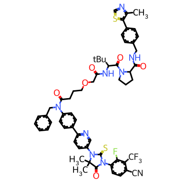 Cc1ncsc1-c1ccc(CNC(=O)C2CCCN2C(=O)C(NC(=O)COCCCC(=O)N(Cc2ccccc2)c2ccc(-c3ccc(N4C(=S)N(c5ccc(C#N)c(C(F)(F)F)c5F)C(=O)C4(C)C)cn3)cc2)C(C)(C)C)cc1